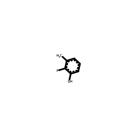 Cc1cc[c]c(O)c1F